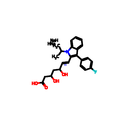 CC(C)n1c(/C=C/C(O)CC(O)CC(=O)O)c(-c2ccc(F)cc2)c2ccccc21.[NaH].[NaH]